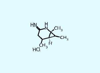 CC1CC(=N)N[C@]2(C)C(C)[C@@H]12.Cl